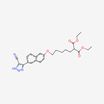 CCOC(=O)C(CCCCCOc1ccc2cc(-c3nn[nH]c3C#N)ccc2c1)C(=O)OCC